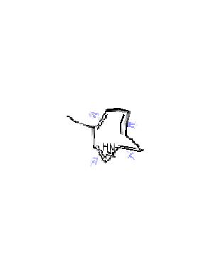 CC1=C/C=C/C=c2\[nH]cc\c2=C\1